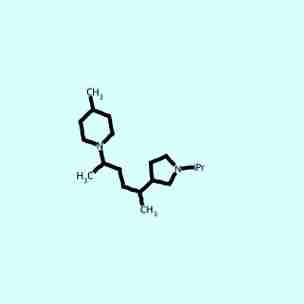 CC1CCN(C(C)CCC(C)C2CCN(C(C)C)C2)CC1